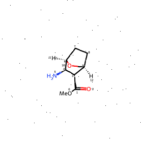 COC(=O)[C@H]1[C@@H](N)[C@H]2CC[C@@H]1O2